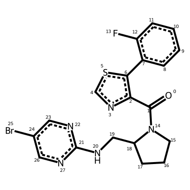 O=C(c1ncsc1-c1ccccc1F)N1CCCC1CNc1ncc(Br)cn1